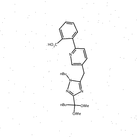 CCCCn1nc(C(CCCC)(OC)OC)nc1Cc1ccc(-c2ccccc2C(=O)O)nc1